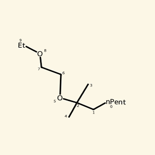 CCCCCCC(C)(C)OCCOCC